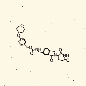 O=C1CCC(N2Cc3ccc(CNC(=O)OCc4ccc(OC5CCOCC5)nc4)cc3C2=O)C(=O)N1